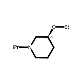 CCO[C@H]1CCCN(C(C)C)C1